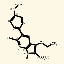 CCOC(=O)c1c(OCC(F)(F)F)c2cc(-c3ccc(OC(C)C)cc3)c(CC)nc2n1C